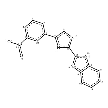 O=[N+]([O-])c1cccc(-c2csc(-c3nc4ccccc4[nH]3)n2)c1